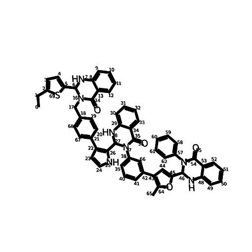 CCc1ccc(C2Nc3ccccc3C(=O)N2Cc2ccc(-c3cc[nH]c3C3Nc4ccccc4C(=O)N3c3cccc(-c4cc(C5Nc6ccccc6C(=O)N5c5ccccc5)oc4C)c3)cc2)s1